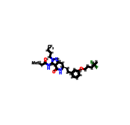 CSCC(=O)NC1C2C(=O)N[C@@H](CCc3cccc(OCCCC(C)(F)F)c3)CC2=NN1CCCC(F)(F)F